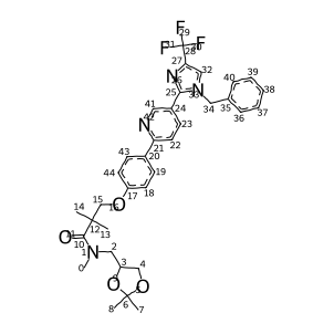 CN(CC1COC(C)(C)O1)C(=O)C(C)(C)COc1ccc(-c2ccc(-c3nc(C(F)(F)F)cn3Cc3ccccc3)cn2)cc1